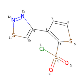 O=S(=O)(Cl)c1sccc1-c1csnn1